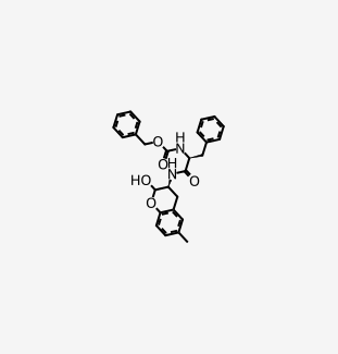 Cc1ccc2c(c1)C[C@H](NC(=O)[C@H](Cc1ccccc1)NC(=O)OCc1ccccc1)C(O)O2